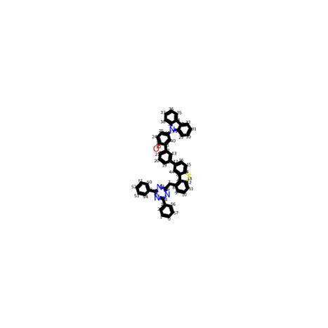 c1ccc(-c2nc(Cc3cccc4sc5ccc(-c6ccc7oc8ccc(-n9c%10ccccc%10c%10ccccc%109)cc8c7c6)cc5c34)nc(-c3ccccc3)n2)cc1